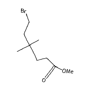 COC(=O)CCC(C)(C)CCBr